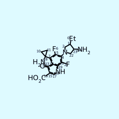 CCC1CN(c2c(F)c(C3(N)CC3)c3c(=O)c(C(=O)O)c[nH]c3c2F)CC1N